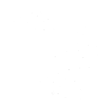 C=CCOP(=S)([S-])OCC=C.C=CCOP(=S)([S-])OCC=C.C=CCOP(=S)([S-])OCC=C.C=CCOP(=S)([S-])OCC=C.[O]=[Mo+4]